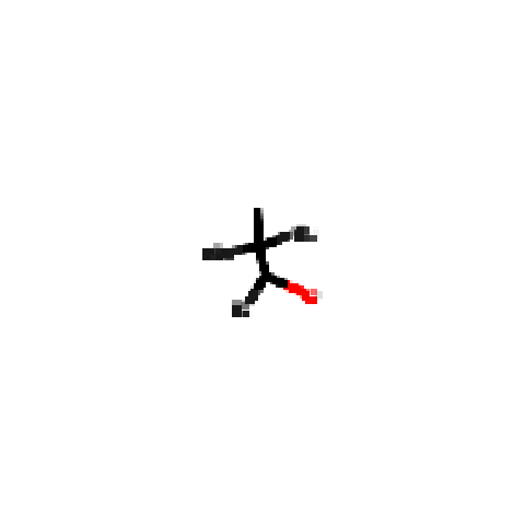 CCCCC(C)(CCCC)C([O])CC